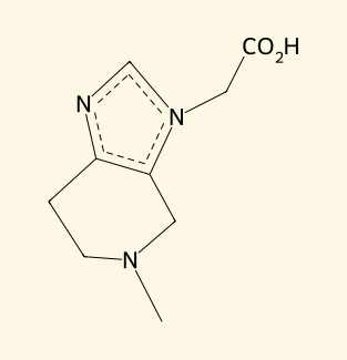 CN1CCc2ncn(CC(=O)O)c2C1